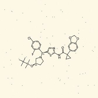 CC(C)(C)[Si](C)(C)O[C@@H]1CCN([C@H](c2cnc(NC(=O)C3(c4ccc5c(c4)OCO5)CC3)s2)c2ccc(Cl)cc2F)C1